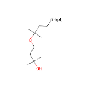 CCCCCCCCCC(C)(C)OCCC(C)(C)O